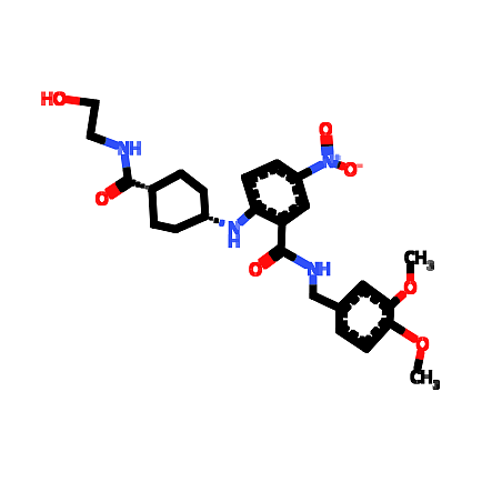 COc1ccc(CNC(=O)c2cc([N+](=O)[O-])ccc2N[C@H]2CC[C@@H](C(=O)NCCO)CC2)cc1OC